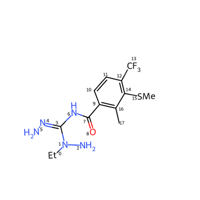 CCN(N)/C(=N\N)NC(=O)c1ccc(C(F)(F)F)c(SC)c1C